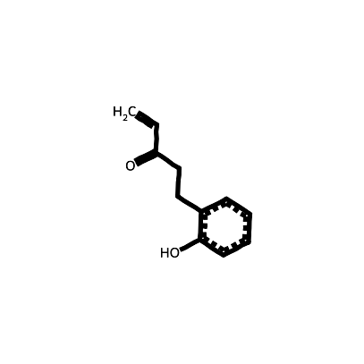 C=CC(=O)CCc1ccccc1O